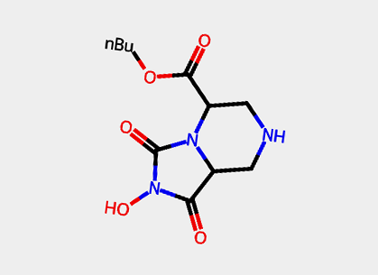 CCCCOC(=O)C1CNCC2C(=O)N(O)C(=O)N12